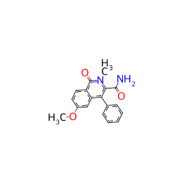 COc1ccc2c(=O)n(C)c(C(N)=O)c(-c3ccccc3)c2c1